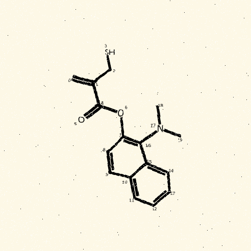 C=C(CS)C(=O)Oc1ccc2ccccc2c1N(C)C